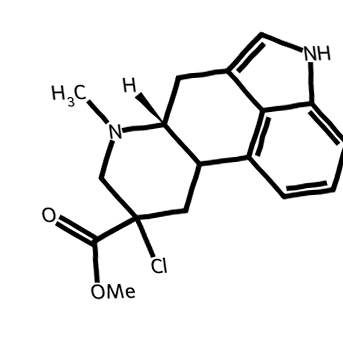 COC(=O)C1(Cl)CC2c3cccc4[nH]cc(c34)C[C@H]2N(C)C1